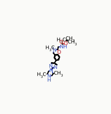 C[C@@H]1CN(c2ncc(-c3cccc(CN(C)C(=O)CNC(=O)OC(C)(C)C)c3)cn2)[C@@H](C)CN1